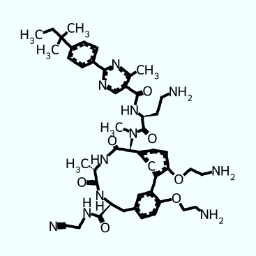 CCC(C)(C)c1ccc(-c2ncc(C(=O)N[C@@H](CCN)C(=O)N(C)[C@@H]3C(=O)N[C@@H](C)C(=O)N[C@H](C(=O)NCC#N)Cc4ccc(OCCN)c(c4)-c4cc3ccc4OCCN)c(C)n2)cc1